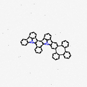 c1ccc2c(c1)-c1ccccc1-c1cc3c4cccc5c6c7c8cccc9c%10ccccc%10n(c98)c7c7ccccc7c6n(c3cc1-c1ccccc1-2)c45